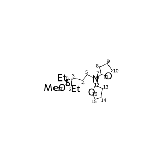 CC[Si](CC)(CCCN(C1CCCO1)C1CCCO1)OC